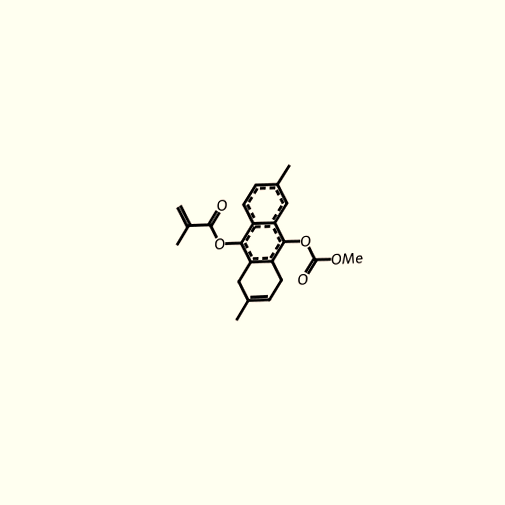 C=C(C)C(=O)Oc1c2c(c(OC(=O)OC)c3cc(C)ccc13)CC=C(C)C2